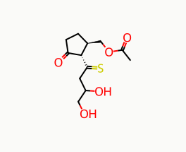 CC(=O)OC[C@@H]1CCC(=O)[C@H]1C(=S)CC(O)CO